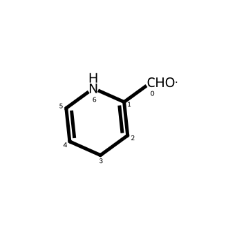 O=[C]C1=CCC=CN1